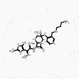 NCCCSCc1cnccc1SC1(C(=O)O)CS[C@@H]2[C@H](NC(=O)C(=NO)c3nc(N)sc3Cl)C(=O)N2C1